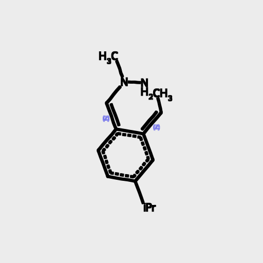 C/C=c1/cc(C(C)C)cc/c1=C/N(C)N